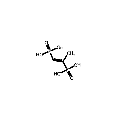 CC(=CP(=O)(O)O)P(=O)(O)O